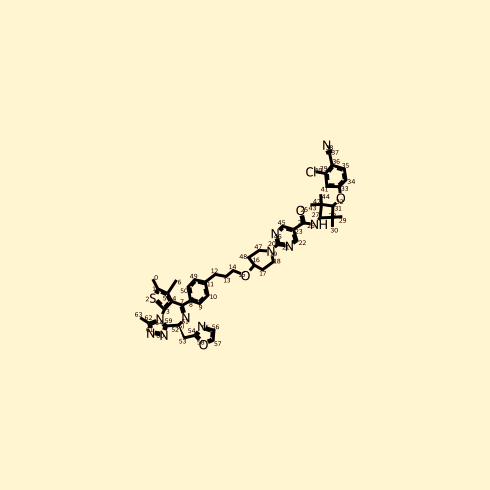 Cc1sc2c(c1C)C(c1ccc(CCCOC3CCN(c4ncc(C(=O)NC5C(C)(C)C(Oc6ccc(C#N)c(Cl)c6)C5(C)C)cn4)CC3)cc1)=N[C@@H](Cc1ncco1)c1nnc(C)n1-2